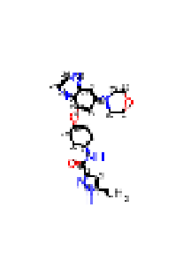 Cc1cc(C(=O)NC2CCC(Oc3cc(N4CCOCC4)cc4nccnc34)CC2)n[nH]1